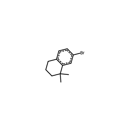 CC1(C)CCCc2ccc(Br)cc21